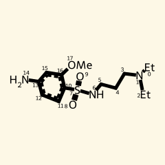 CCN(CC)CCCNS(=O)(=O)c1ccc(N)cc1OC